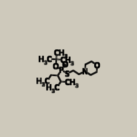 CCC(C(C)C)P(=O)(OC(C)(C)C)SCCN1CCOCC1